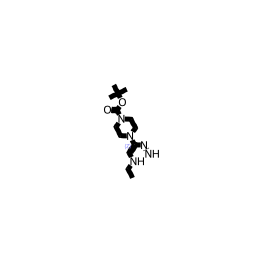 CCN/C=C(\N=N)N1CCN(C(=O)OC(C)(C)C)CC1